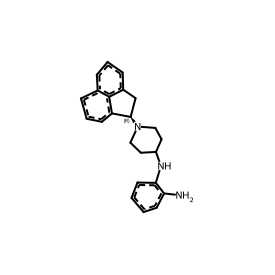 Nc1ccccc1NC1CCN([C@@H]2Cc3cccc4cccc2c34)CC1